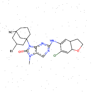 CCC1CC2(C#N)CCCC(n3c(=O)n(C)c4cnc(NC5=CC6CCOC6C=C5Cl)nc43)(C1)C2